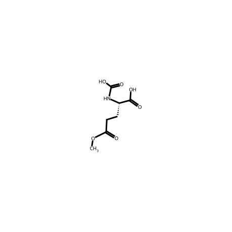 COC(=O)CC[C@H](NC(=O)O)C(=O)O